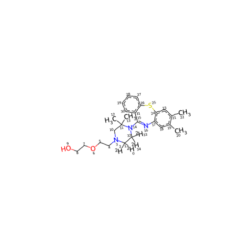 [2H]C1([2H])N(CCOCCO)CC(C)(C)N(C2=Nc3cc(C)c(C)cc3Sc3ccccc32)C1([2H])[2H]